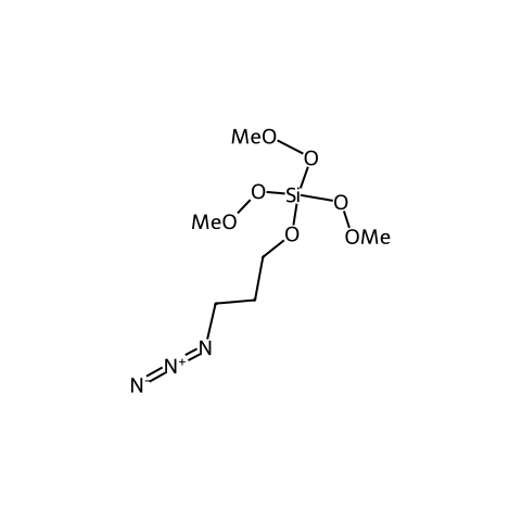 COO[Si](OCCCN=[N+]=[N-])(OOC)OOC